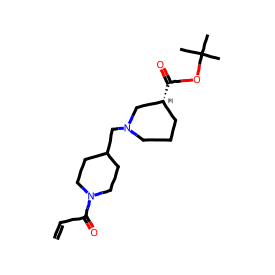 C=CC(=O)N1CCC(CN2CCC[C@@H](C(=O)OC(C)(C)C)C2)CC1